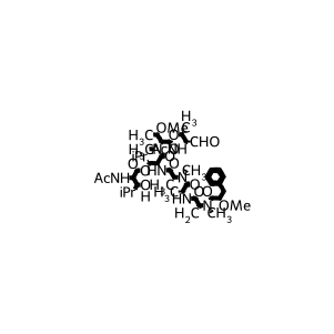 C=C(C(=O)N[C@@H](C)C(=O)N(C)[C@@H](C)C(=O)N[C@H](C(=O)N(C)C(C(=O)O[C@H](C)[C@@H](C=O)NC(C)=O)[C@@H](C)OC)[C@H](OC(=O)C(NC(C)=O)C(O)C(C)C)C(C)C)N(C)C(=O)[C@@H](Cc1ccccc1)OC